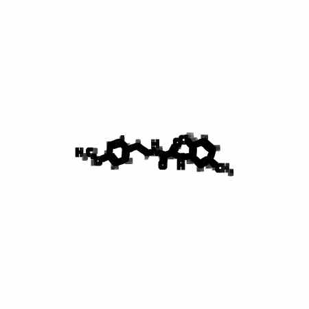 COc1ccc(CCNC(=O)C(=O)Nc2cc(C)ccc2Cl)cc1